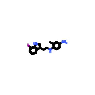 Cc1cc(N)ccc1NCCc1c[nH]c2c(I)cccc12